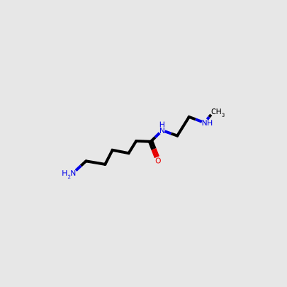 CNCCNC(=O)CCCCCN